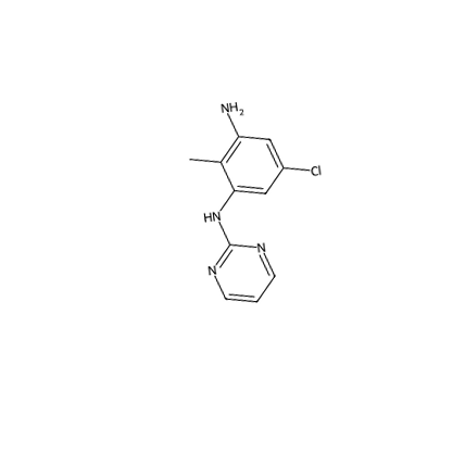 Cc1c(N)cc(Cl)cc1Nc1ncccn1